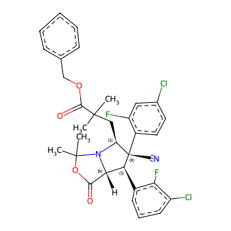 CC(C)(C[C@@H]1N2[C@@H](C(=O)OC2(C)C)[C@H](c2cccc(Cl)c2F)[C@@]1(C#N)c1ccc(Cl)cc1F)C(=O)OCc1ccccc1